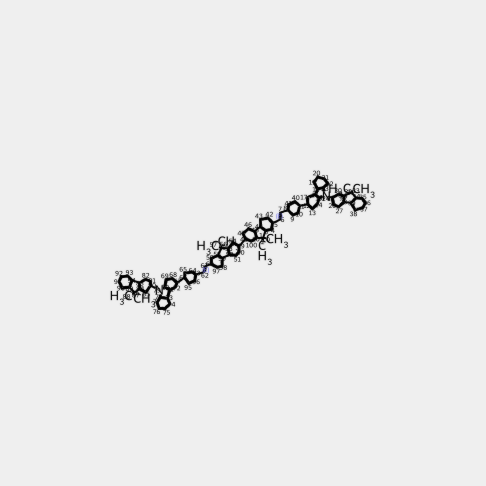 CC1(C)c2cc(/C=C/c3ccc(-c4ccc5c(c4)c4ccccc4n5-c4ccc5c(c4)C(C)(C)c4ccccc4-5)cc3)ccc2-c2ccc(-c3ccc4c(c3)C(C)(C)c3cc(/C=C/c5ccc(-c6ccc7c(c6)c6ccccc6n7-c6ccc7c(c6)C(C)(C)c6ccccc6-7)cc5)ccc3-4)cc21